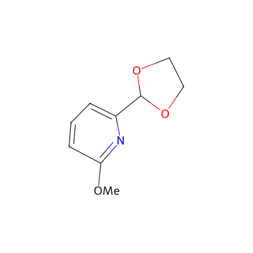 COc1cccc(C2OCCO2)n1